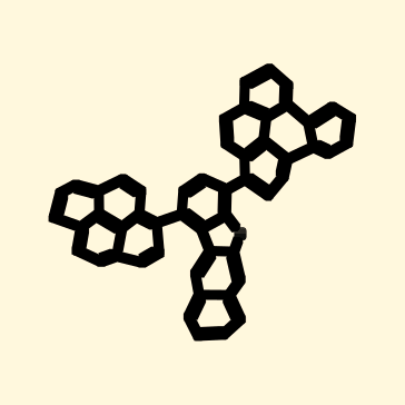 c1ccc2cc3c(cc2c1)oc1c(-c2ccc4c5ccccc5c5cccc6ccc2c4c65)ccc(-c2ccc4ccc5cccc6ccc2c4c56)c13